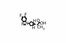 CC(C(=O)O)[C@@H]1[C@@H]2CC(n3cnc4cc(F)c(F)cc43)C[C@@H]21